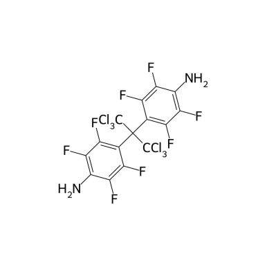 Nc1c(F)c(F)c(C(c2c(F)c(F)c(N)c(F)c2F)(C(Cl)(Cl)Cl)C(Cl)(Cl)Cl)c(F)c1F